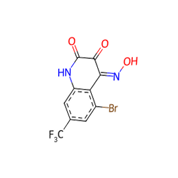 O=C1Nc2cc(C(F)(F)F)cc(Br)c2/C(=N/O)C1=O